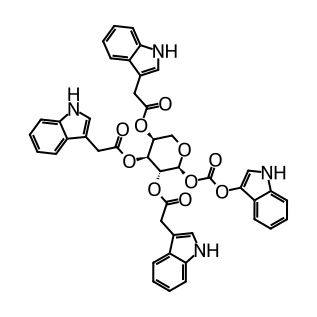 O=C(Cc1c[nH]c2ccccc12)O[C@@H]1[C@@H](OC(=O)Cc2c[nH]c3ccccc23)[C@H](OC(=O)Oc2c[nH]c3ccccc23)OC[C@@H]1OC(=O)Cc1c[nH]c2ccccc12